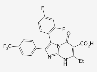 CCc1[nH]c2nc(-c3ccc(C(F)(F)F)cc3)c(-c3ccc(F)cc3F)n2c(=O)c1C(=O)O